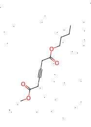 CCCCOC(=O)CC#CCC(=O)OC